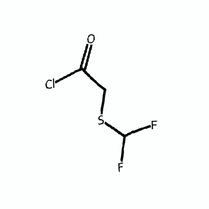 O=C(Cl)CSC(F)F